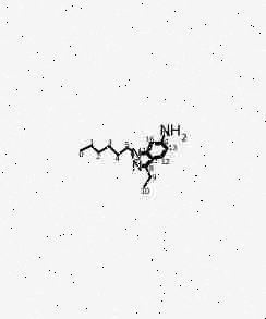 CCCCCCn1nc(CC)c2ccc(N)cc21